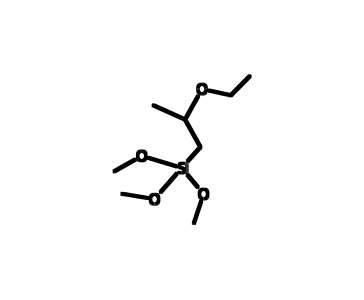 CCOC(C)C[Si](OC)(OC)OC